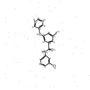 O=C(Nc1cncc(Cl)c1)c1cc(F)cc(Oc2cncnc2)c1